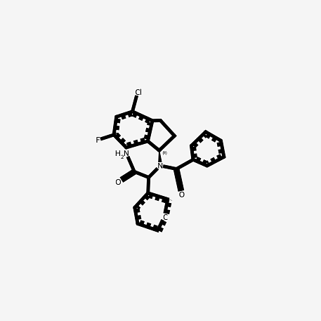 NC(=O)C(c1ccccc1)N(C(=O)c1ccccc1)[C@@H]1CCc2c(Cl)cc(F)cc21